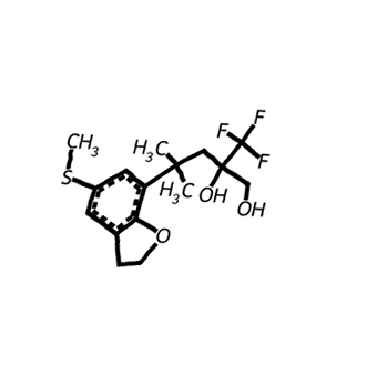 CSc1cc2c(c(C(C)(C)CC(O)(CO)C(F)(F)F)c1)OCC2